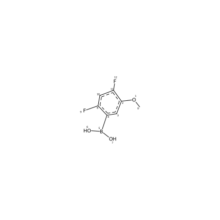 COc1cc(B(O)O)c(F)cc1F